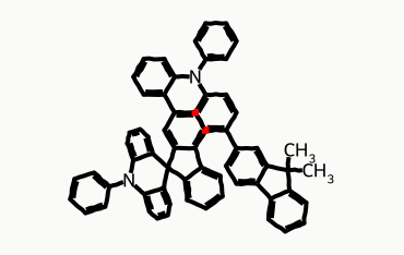 CC1(C)c2ccccc2-c2ccc(-c3ccc(N(c4ccccc4)c4ccccc4-c4ccc5c(c4)C4(c6ccccc6-5)c5ccccc5N(c5ccccc5)c5ccccc54)cc3)cc21